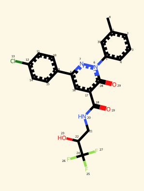 Cc1cccc(-n2nc(-c3ccc(Cl)cc3)cc(C(=O)NCC(O)C(F)(F)F)c2=O)c1